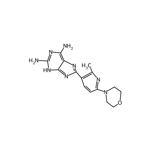 Cc1nc(N2CCOCC2)ccc1-c1nc2[nH]c(N)nc(N)c-2n1